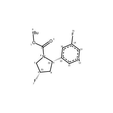 CC(C)(C)OC(=O)N1C[C@@H](F)C[C@H]1c1cncc(F)c1